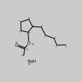 CCCCCC1CCCC1OC(C)=O.[NaH]